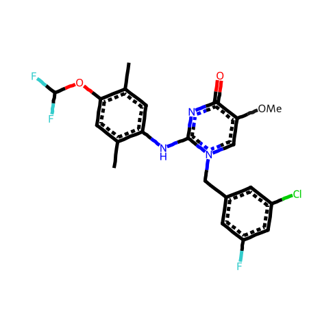 COc1cn(Cc2cc(F)cc(Cl)c2)c(Nc2cc(C)c(OC(F)F)cc2C)nc1=O